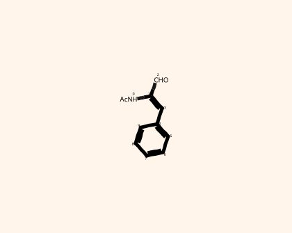 CC(=O)N/C(C=O)=C\c1ccccc1